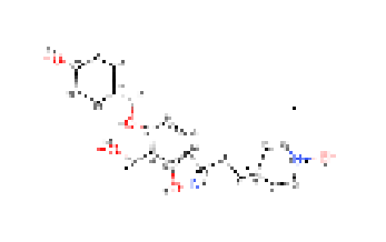 BN1CCC(CCc2noc3c(CO)c(OC[C@H]4CC[C@@H](O)CC4)ccc23)CC1